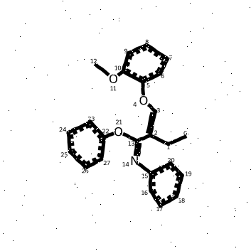 CCC(=COc1ccccc1OC)/C(=N\c1ccccc1)Oc1ccccc1